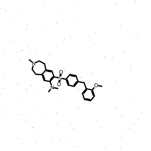 COc1ccccc1Cc1ccc(S(=O)(=O)c2cc3c(cc2N(C)C)CCN(C)CC3)cc1